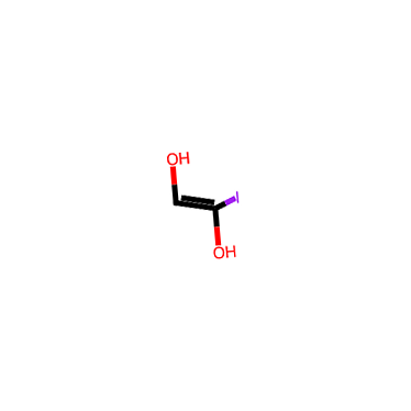 OC=C(O)I